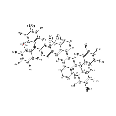 CC(C)(C)c1c(F)c(F)c(B(c2ccc3c(c2)C(C)(C)c2cccc4c2c-3cc2c3ccccc3c(B(c3c(F)c(F)c(F)c(F)c3F)c3c(F)c(F)c(C(C)(C)C)c(F)c3F)cc42)c2c(F)c(F)c(F)c(F)c2F)c(F)c1F